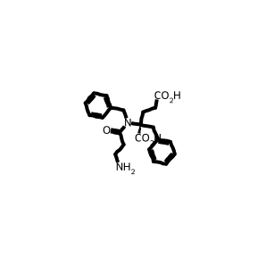 NCCC(=O)N(Cc1ccccc1)[C@](CCC(=O)O)(Cc1ccccc1)C(=O)O